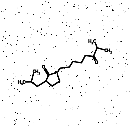 CC(C)CC1CCN(CCCCCC(=O)C(C)C)C1=O